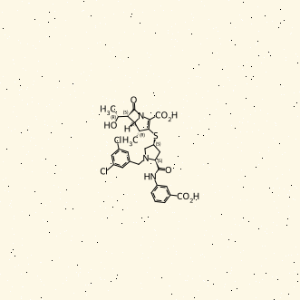 C[C@@H](O)[C@H]1C(=O)N2C(C(=O)O)=C(S[C@H]3C[C@@H](C(=O)Nc4cccc(C(=O)O)c4)N(Cc4cc(Cl)cc(Cl)c4)C3)[C@H](C)[C@H]12